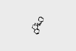 c1ccc(C[C@H]2NCCc3ccccc32)cc1